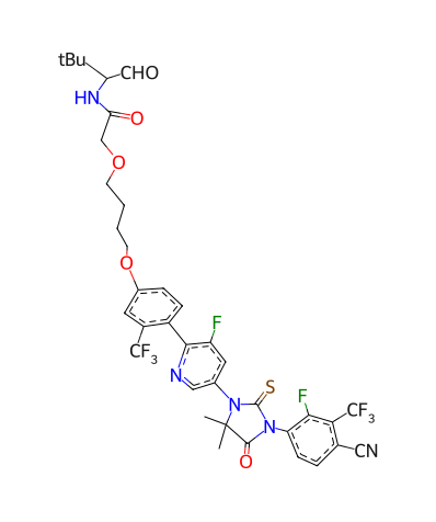 CC(C)(C)C(C=O)NC(=O)COCCCCOc1ccc(-c2ncc(N3C(=S)N(c4ccc(C#N)c(C(F)(F)F)c4F)C(=O)C3(C)C)cc2F)c(C(F)(F)F)c1